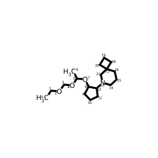 CCOCOC(C)OC1CCCC1N1CCCC2(CCC2)C1